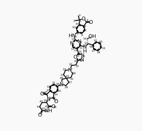 CC1(C)OC(=O)c2ccc(Nc3ncc(-c4nnc(CCN5CCC6(CC5)CCN(c5ccc7c(c5)C(=O)N(C5CCC(=O)NC5=O)C7=O)C6)o4)c(N[C@H](CO)c4ccccc4)n3)cc21